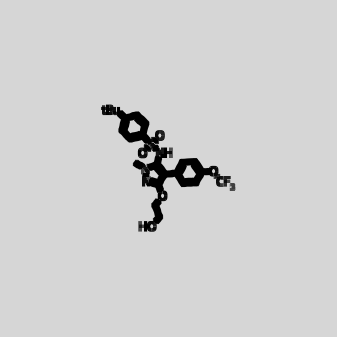 Cn1nc(OCCO)c(-c2ccc(OC(F)(F)F)cc2)c1NS(=O)(=O)c1ccc(C(C)(C)C)cc1